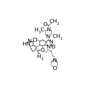 C=CC(=O)N1C[C@H](C)N(c2nc(=O)n3c4c(c(-c5c(C)ccc6[nH]ncc56)c(Cl)cc24)OC[C@@H]3CCCN2C3CCC2COC3)C[C@H]1C